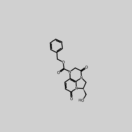 O=C(OCc1ccccc1)N1CC(=O)N2C[C@@H](CO)n3c2c1ccc3=O